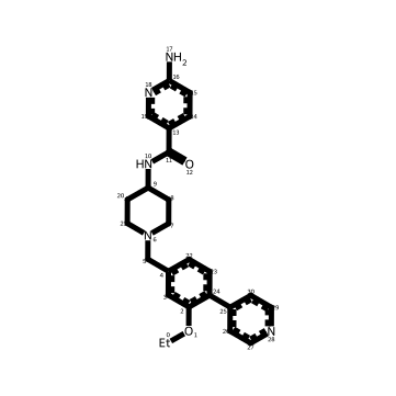 CCOc1cc(CN2CCC(NC(=O)c3ccc(N)nc3)CC2)ccc1-c1ccncc1